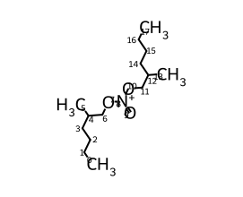 CCCCC(C)CO[N+](=O)OCC(C)CCCC